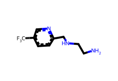 NCCNCc1ccc(C(F)(F)F)cn1